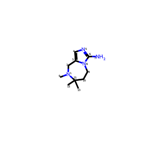 CN1Cc2cnc(N)n2CCC1(C)C